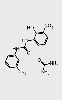 NC(N)=O.O=C(Nc1cccc(C(F)(F)F)c1)Nc1cccc([N+](=O)[O-])c1O